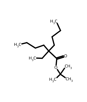 CCCCC(CC)(CCCC)C(=O)OC(C)(C)C